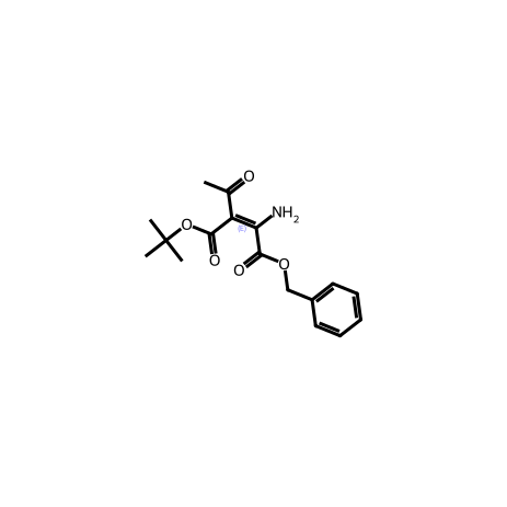 CC(=O)/C(C(=O)OC(C)(C)C)=C(\N)C(=O)OCc1ccccc1